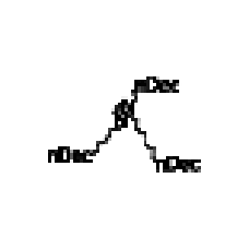 CCCCCCCCCCCCCCCCC1N(CCCCCCCCCCCC)C=CN1CCCCCCCCCCCCCCC